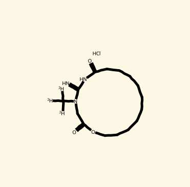 Cl.[2H]C([2H])([2H])N1CC(=O)OCCCCCCCCCCC(=O)NC1=N